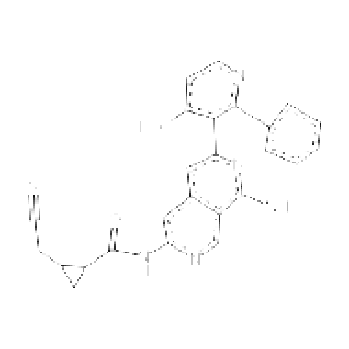 Cc1ccnc(-c2ccccc2)c1-c1cc2cc(NC(=O)C3CC3CC#N)ncc2c(N)n1